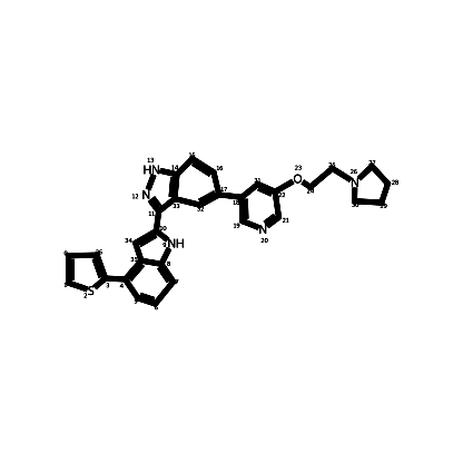 c1csc(-c2cccc3[nH]c(-c4n[nH]c5ccc(-c6cncc(OCCN7CCCC7)c6)cc45)cc23)c1